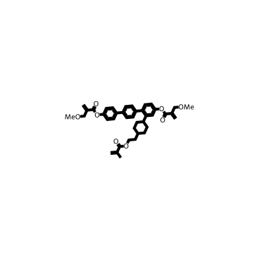 C=C(C)C(=O)OCCC1CCC(c2cc(OC(=O)C(=C)COC)ccc2-c2ccc(-c3ccc(OC(=O)C(=C)COC)cc3)cc2)CC1